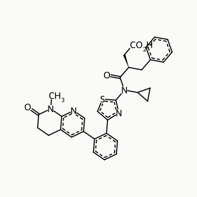 CN1C(=O)CCc2cc(-c3ccccc3-c3csc(N(C(=O)[C@@H](CC(=O)O)Cc4ccccc4)C4CC4)n3)cnc21